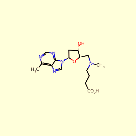 Cc1ncnc2c1ncn2[C@H]1C[C@H](O)[C@@H](CN(C)CCCC(=O)O)O1